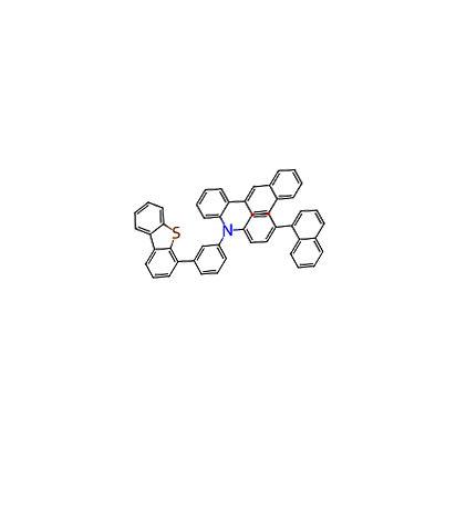 c1cc(-c2cccc3c2sc2ccccc23)cc(N(c2ccc(-c3cccc4ccccc34)cc2)c2ccccc2-c2ccc3ccccc3c2)c1